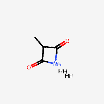 CC1C(=O)NC1=O.[HH].[HH]